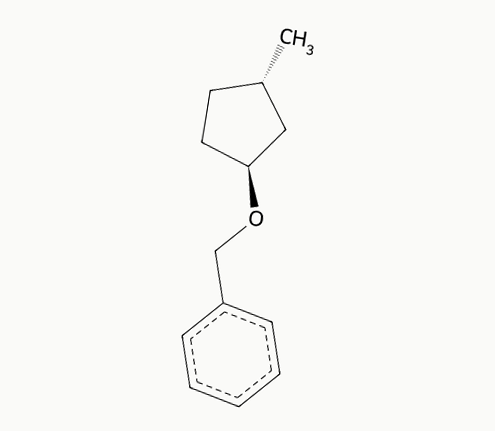 C[C@H]1CC[C@H](OCc2ccccc2)C1